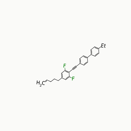 C=CCCCc1cc(F)c(C#Cc2ccc(-c3ccc(CC)cc3)cc2)c(F)c1